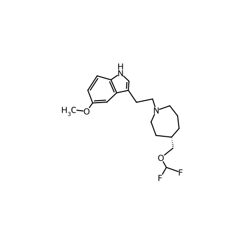 COc1ccc2[nH]cc(CCN3CCC[C@H](COC(F)F)CC3)c2c1